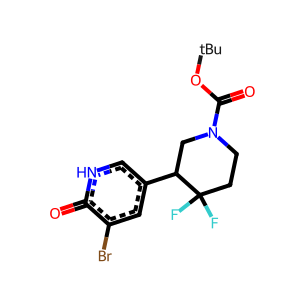 CC(C)(C)OC(=O)N1CCC(F)(F)C(c2c[nH]c(=O)c(Br)c2)C1